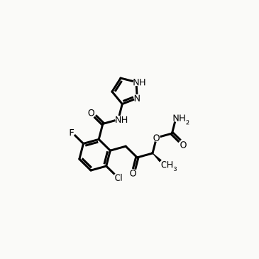 C[C@H](OC(N)=O)C(=O)Cc1c(Cl)ccc(F)c1C(=O)Nc1cc[nH]n1